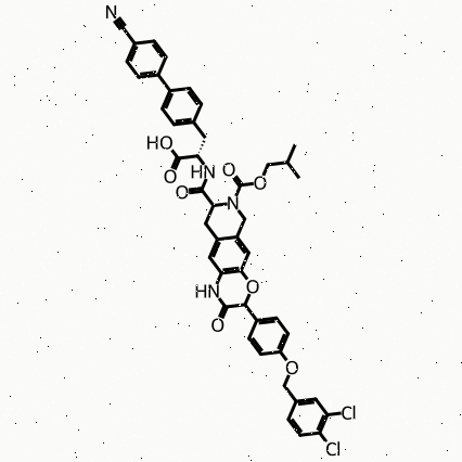 CC(C)COC(=O)N1Cc2cc3c(cc2CC1C(=O)N[C@@H](Cc1ccc(-c2ccc(C#N)cc2)cc1)C(=O)O)NC(=O)C(c1ccc(OCc2ccc(Cl)c(Cl)c2)cc1)O3